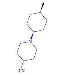 C[C@H]1CC[C@@H](N2CCC(C#N)CC2)CC1